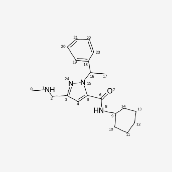 CNCc1cc(C(=O)NC2CCCCC2)n(C(C)c2ccccc2)n1